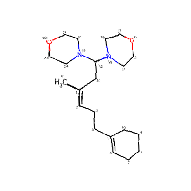 CC(=CCCC1=CCCCC1)CC(N1CCOCC1)N1CCOCC1